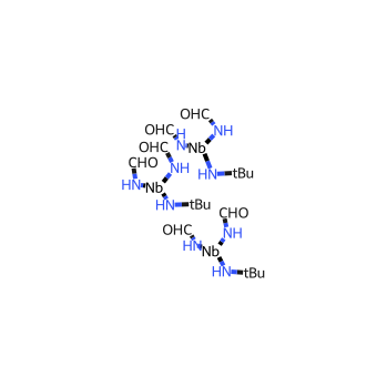 CC(C)(C)[NH][Nb]([NH]C=O)[NH]C=O.CC(C)(C)[NH][Nb]([NH]C=O)[NH]C=O.CC(C)(C)[NH][Nb]([NH]C=O)[NH]C=O